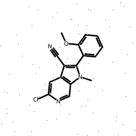 COc1ccccc1-c1c(C#N)c2cc(Cl)ncc2n1C